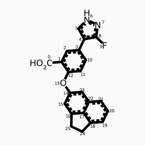 O=C(O)c1cc(-c2c[nH]nc2F)ccc1Oc1cc2c3c(cccc3c1)CC2